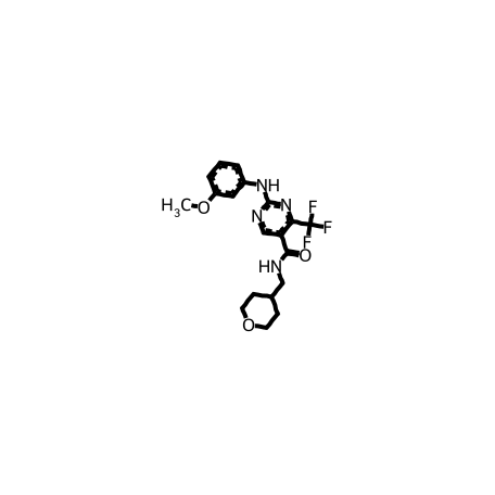 COc1cccc(Nc2ncc(C(=O)NCC3CCOCC3)c(C(F)(F)F)n2)c1